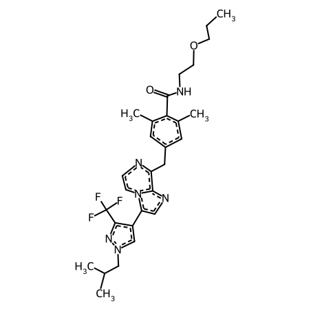 CCCOCCNC(=O)c1c(C)cc(Cc2nccn3c(-c4cn(CC(C)C)nc4C(F)(F)F)cnc23)cc1C